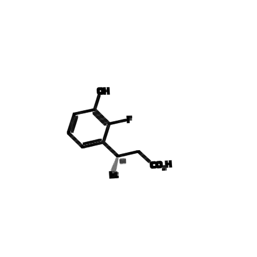 CC[C@@H](CC(=O)O)c1cccc(O)c1F